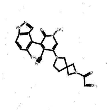 C=CC(=O)N1CC2(CCN(c3cn(C)c(=O)c(-c4c(C)ccc5[nH]ncc45)c3C#N)C2)C1